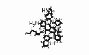 CC/C=C\C=C/CN(c1ccc2c(c1)C=CCN2)c1c2cc(N)ccc2c(N(c2ccccc2)c2ccc3[nH]ccc3c2)c2cc3c(cc12)-c1ccccc1C3(C)C